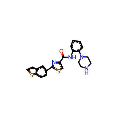 O=C(Nc1ccccc1N1CCNCC1)c1csc(-c2ccc3sccc3c2)n1